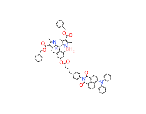 Bn1c(C)c(C(=O)OCc2ccccc2)c(C)c1/C(=C1\N=C(C)C(C(=O)OCc2ccccc2)=C1C)c1c(C)cc(OC(=O)CCCc2ccc(N3C(=O)c4cccc5c(N(c6ccccc6)c6ccccc6)ccc(c45)C3=O)cc2)cc1C